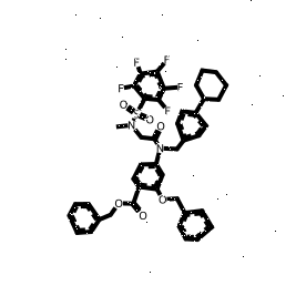 CN(CC(=O)N(Cc1ccc(C2CCCCC2)cc1)c1ccc(C(=O)OCc2ccccc2)c(OCc2ccccc2)c1)S(=O)(=O)c1c(F)c(F)c(F)c(F)c1F